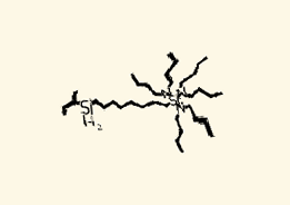 CC=C(C)[SiH2]CCCCCCCC[Si](N(CCCC)CCCC)(N(CCCC)CCCC)N(CCCC)CCCC